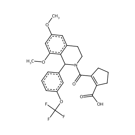 COc1cc2c(c(OC)c1)C(c1cccc(OC(F)(F)F)c1)N(C(=O)C1=C(C(=O)O)CCC1)CC2